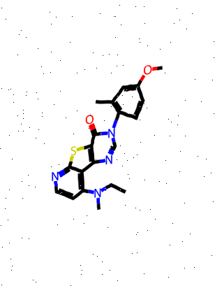 CCN(C)c1ccnc2sc3c(=O)n(-c4ccc(OC)cc4C)cnc3c12